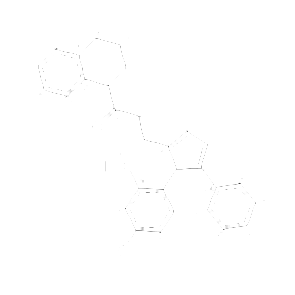 Cc1ccc(C2C(CCC(=O)C3CCCc4ccccc43)=CC=C2c2ccccc2)c(C)c1